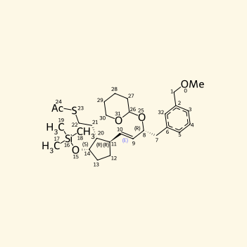 COCc1cccc(C[C@H](/C=C/[C@H]2CC[C@H](O[Si](C)(C)C)[C@@H]2CCSC(C)=O)OC2CCCCO2)c1